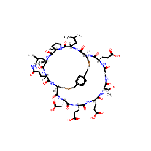 CC(C)C[C@@H]1NC(=O)[C@@H]2CCCN2C(=O)[C@H](CC(C)C)NC(=O)[C@@H]2CSCc3ccc(cc3)CSC[C@H](NC(=O)[C@H](CCC(N)=O)NC1=O)C(=O)N[C@@H](CC(=O)O)C(=O)N[C@@H](CCC(=O)O)C(=O)N[C@@H](CCC(=O)O)C(=O)N[C@@H]([C@@H](C)O)C(=O)NCC(=O)N[C@@H](CCC(=O)O)C(=O)N2